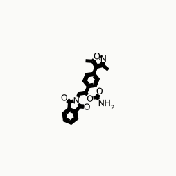 Cc1noc(C)c1-c1ccc(C(CN2C(=O)c3ccccc3C2=O)OC(N)=O)cc1